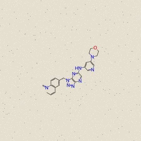 C=Nc1ccc(Cn2nnc3ncc(Nc4cncc(N5CCOCC5)c4)nc32)cc1/C=C\C